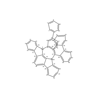 c1ccc(-c2cccc(-n3c4ccccc4c4ccc5c6ccccc6n(-c6cc7ccccc7c7ccccc67)c5c43)c2)cc1